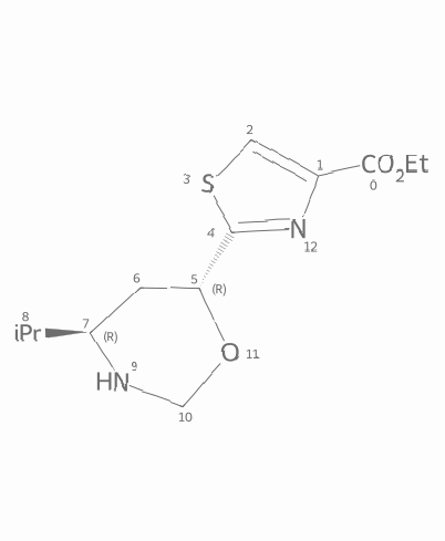 CCOC(=O)c1csc([C@H]2C[C@H](C(C)C)NCO2)n1